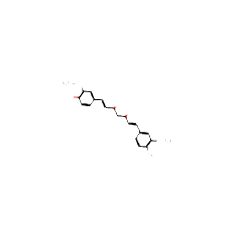 COc1cc(/C=C/C(=O)CC(=O)/C=C/c2ccc(N=O)c(OC)c2)ccc1O